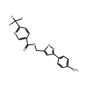 Cc1ccc(-c2cc(COC(=O)c3ccc(C(F)(F)F)nc3)on2)cc1